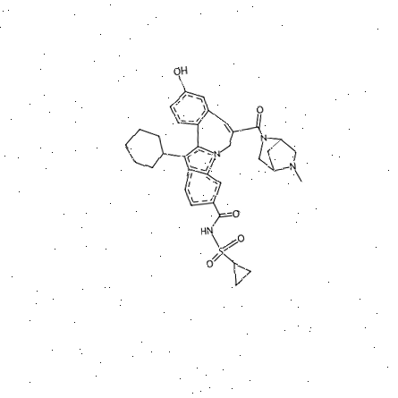 CN1CC2CC1CN2C(=O)C1=Cc2cc(O)ccc2-c2c(C3CCCCC3)c3ccc(C(=O)NS(=O)(=O)C4CC4)cc3n2C1